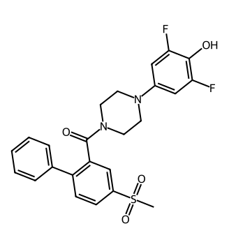 CS(=O)(=O)c1ccc(-c2ccccc2)c(C(=O)N2CCN(c3cc(F)c(O)c(F)c3)CC2)c1